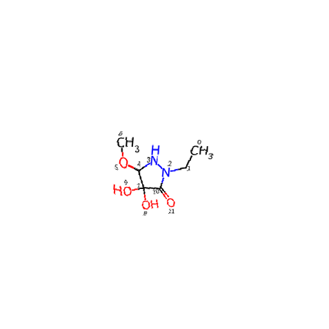 CCN1NC(OC)C(O)(O)C1=O